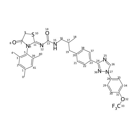 Cc1cc(C)c(N2C(=O)CS/C2=N\C(=O)NCC(C)Cc2ccc(-c3ncn(-c4ccc(OC(F)(F)F)cc4)n3)cc2)c(C)c1